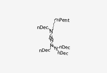 CCCCC/C=C\CCCCCN(CCCCCCCCCCCC)CCN1CCN(CCN(CCCCCCCCCCCC)CCN(CCCCCCCCCCCC)CCCCCCCCCCCC)CC1